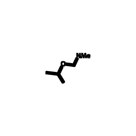 CNCOC(C)C